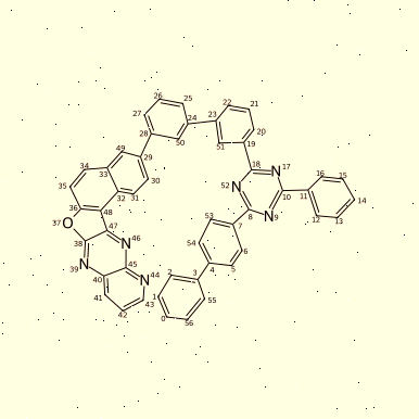 c1ccc(-c2ccc(-c3nc(-c4ccccc4)nc(-c4cccc(-c5cccc(-c6ccc7c(ccc8oc9nc%10cccnc%10nc9c87)c6)c5)c4)n3)cc2)cc1